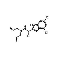 C=CCN(CC=C)NC(=O)c1cc2c(Cl)cc(Cl)cc2[nH]1